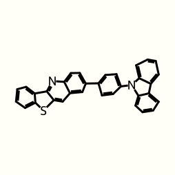 c1ccc2c(c1)sc1cc3cc(-c4ccc(-n5c6ccccc6c6ccccc65)cc4)ccc3nc12